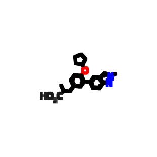 CC(Cc1ccc(OC2CCCC2)c(-c2ccc3nn(C)cc3c2)c1)C(=O)O